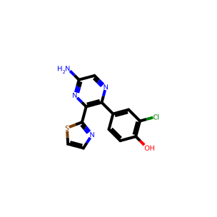 Nc1cnc(-c2ccc(O)c(Cl)c2)c(-c2nccs2)n1